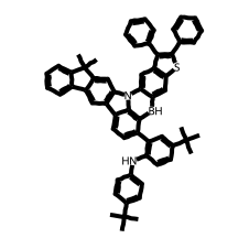 CC(C)(C)c1ccc(Nc2ccc(C(C)(C)C)cc2-c2ccc3c4cc5c(cc4n4c3c2Bc2cc3sc(-c6ccccc6)c(-c6ccccc6)c3cc2-4)C(C)(C)c2ccccc2-5)cc1